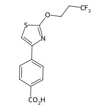 O=C(O)c1ccc(-c2csc(OCCC(F)(F)F)n2)cc1